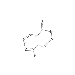 O=C1[N]N=Cc2c(F)cccc21